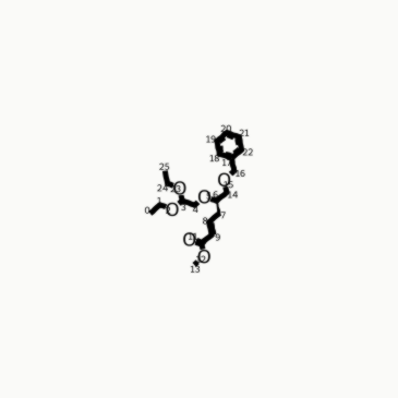 CCOC(CO[C@H](C/C=C/C(=O)OC)COCc1ccccc1)OCC